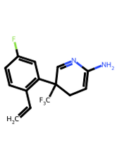 C=Cc1ccc(F)cc1C1(C(F)(F)F)C=NC(N)=CC1